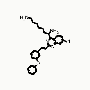 NCCCCCCC(N)c1nc(C=Cc2cccc(Oc3ccccc3)c2)nc2cc(Cl)ccc12